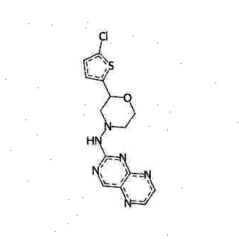 Clc1ccc(C2CN(Nc3ncc4nccnc4n3)CCO2)s1